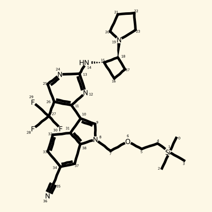 C[Si](C)(C)CCOCn1cc(-c2nc(N[C@H]3CC[C@@H]3N3CCCC3)ncc2C(F)(F)F)c2ccc(C#N)cc21